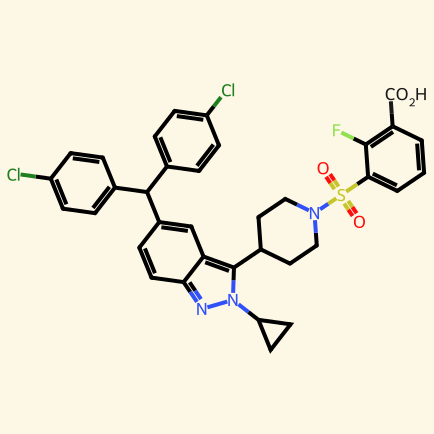 O=C(O)c1cccc(S(=O)(=O)N2CCC(c3c4cc(C(c5ccc(Cl)cc5)c5ccc(Cl)cc5)ccc4nn3C3CC3)CC2)c1F